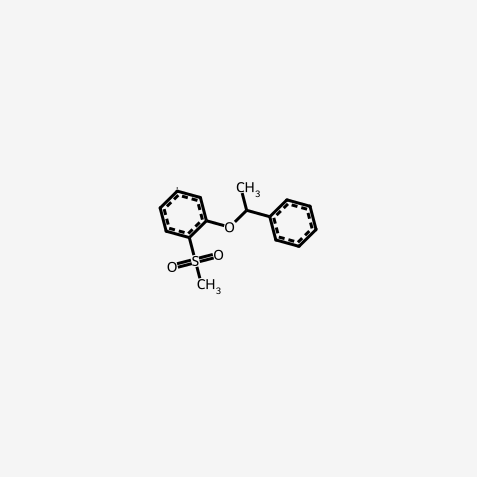 CC(Oc1c[c]ccc1S(C)(=O)=O)c1ccccc1